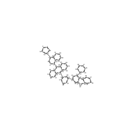 c1ccc(-c2ccc(-c3c4ccccc4c(-c4cccc(-c5cc(-c6ccccc6)c6c(c5)oc5ccccc56)c4)c4ccccc34)c3ccccc23)cc1